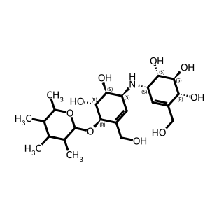 CC1OC(O[C@@H]2C(CO)=C[C@H](N[C@H]3C=C(CO)[C@@H](O)[C@H](O)[C@H]3O)[C@H](O)[C@H]2O)C(C)C(C)C1C